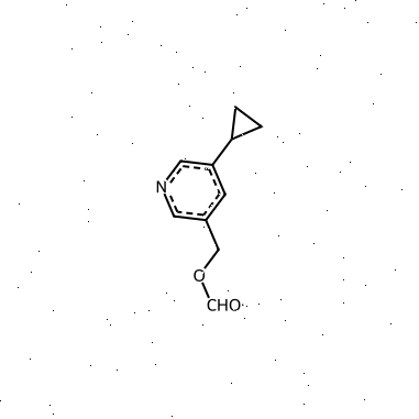 O=[C]OCc1cncc(C2CC2)c1